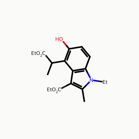 CCOC(=O)c1c(C)n(CC)c2ccc(O)c(C(C)C(=O)OCC)c12